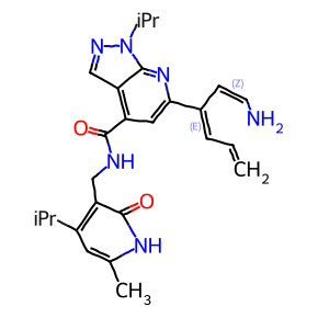 C=C/C=C(\C=C/N)c1cc(C(=O)NCc2c(C(C)C)cc(C)[nH]c2=O)c2cnn(C(C)C)c2n1